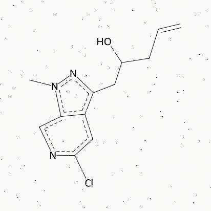 C=CCC(O)Cc1nn(C)c2cnc(Cl)cc12